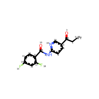 CC(C)CC(=O)c1ccc(NC(=O)c2ccc(F)cc2F)nc1